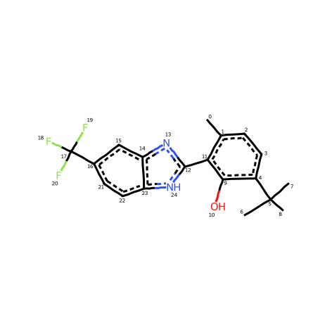 Cc1ccc(C(C)(C)C)c(O)c1-c1nc2cc(C(F)(F)F)ccc2[nH]1